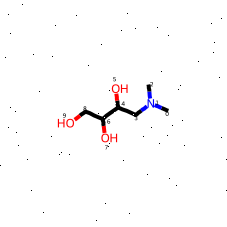 CN(C)CC(O)C(O)CO